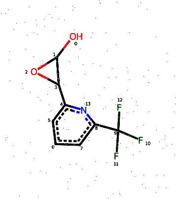 OC1OC1c1cccc(C(F)(F)F)n1